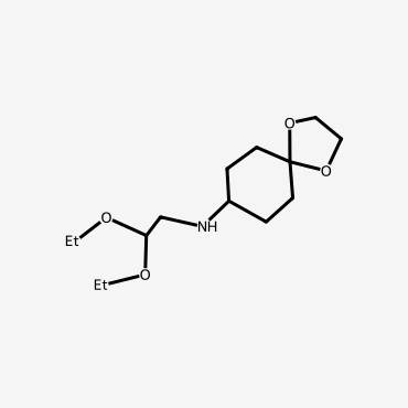 CCOC(CNC1CCC2(CC1)OCCO2)OCC